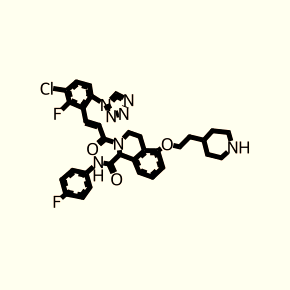 O=C(Nc1ccc(F)cc1)C1c2cccc(OCCC3CCNCC3)c2CCN1C(=O)C=Cc1c(-n2cnnn2)ccc(Cl)c1F